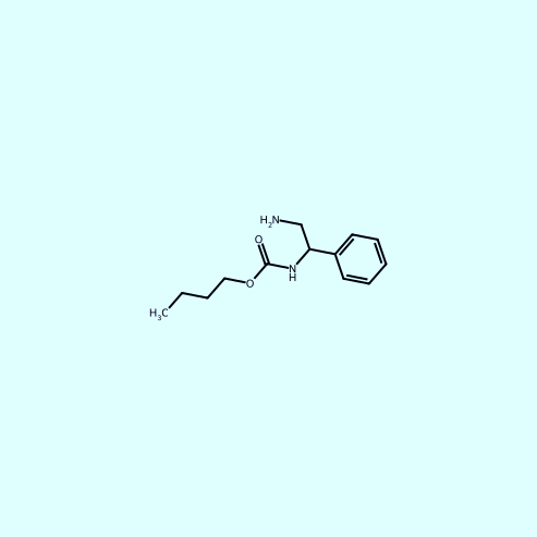 CCCCOC(=O)NC(CN)c1ccccc1